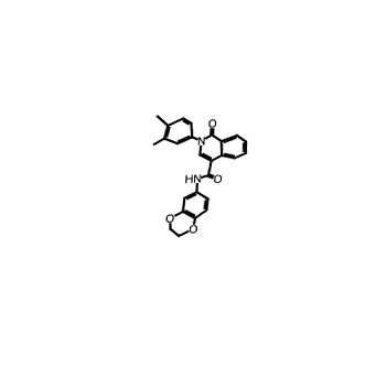 Cc1ccc(-n2cc(C(=O)Nc3ccc4c(c3)OCCO4)c3ccccc3c2=O)cc1C